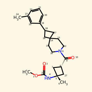 COC(=O)N[C@]1(C)C[C@H](C(=O)N2CCC3(CC2)CC(c2cccc(C)c2)C3)C1